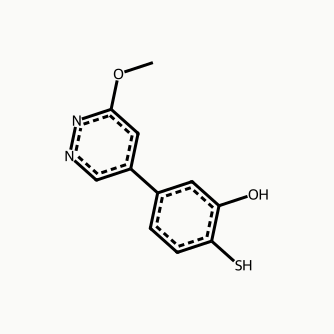 COc1cc(-c2ccc(S)c(O)c2)cnn1